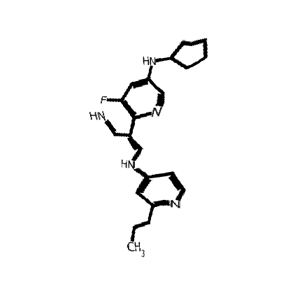 CCCc1cc(N/C=C(\C=N)c2ncc(NC3CCCC3)cc2F)ccn1